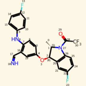 C[C@H]1[C@H](Oc2ccc(Nc3ccc(F)cc3)c(C=N)c2)c2cc(F)ccc2N1C(=O)C(F)(F)F